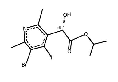 Cc1nc(C)c([C@H](O)C(=O)OC(C)C)c(I)c1Br